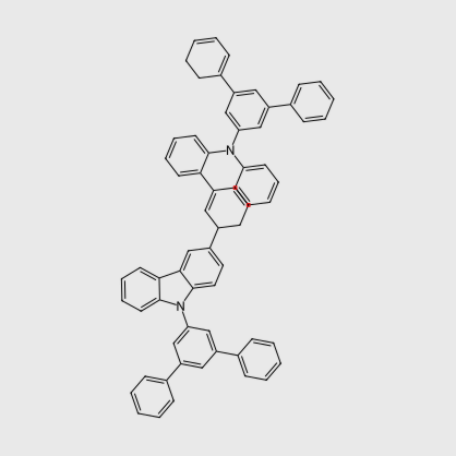 C1=CCCC(c2cc(-c3ccccc3)cc(N(c3ccccc3)c3ccccc3C3=CC(c4ccc5c(c4)c4ccccc4n5-c4cc(-c5ccccc5)cc(-c5ccccc5)c4)CC=C3)c2)=C1